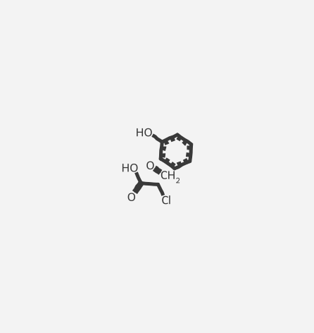 C=O.O=C(O)CCl.Oc1ccccc1